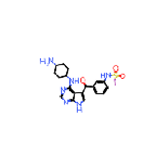 N[C@H]1CC[C@@H](Nc2ncnc3[nH]cc(C(=O)c4cccc(NS(=O)(=O)I)c4)c23)CC1